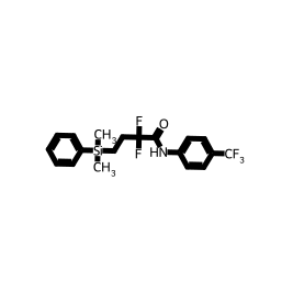 C[Si](C)(CCC(F)(F)C(=O)Nc1ccc(C(F)(F)F)cc1)c1ccccc1